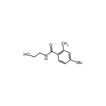 Cc1cc(C(C)(C)C)ccc1C(=O)NCCO